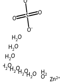 O.O.O.O.O.O.O.O.O=S(=O)([O-])[O-].[Zn+2]